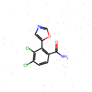 NC(=O)c1ccc(Cl)c(Cl)c1-c1cnco1